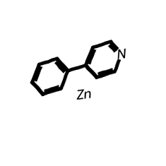 [Zn].c1ccc(-c2ccncc2)cc1